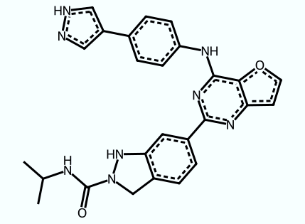 CC(C)NC(=O)N1Cc2ccc(-c3nc(Nc4ccc(-c5cn[nH]c5)cc4)c4occc4n3)cc2N1